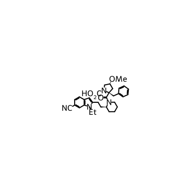 CCn1c(CC[C@@H]2CCCCN2C(=O)[C@@]2(Cc3ccccc3)C[C@@H](OC)CN2C(=O)O)cc2ccc(C#N)cc21